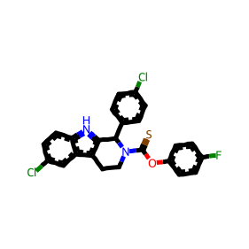 Fc1ccc(OC(=S)N2CCc3c([nH]c4ccc(Cl)cc34)C2c2ccc(Cl)cc2)cc1